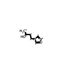 CC(O)CCn1cnnc1